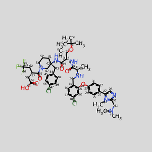 C[C@H](OC(C)(C)C)[C@H](NC(=O)[C@@H](C)NCc1ccc(Cl)cc1Oc1ccc(-c2cnc(CN(C)C)n2C)cc1)C(=O)N[C@@]1(Cc2ccc(Cl)cc2)CCCN(C(=O)[C@@H](CC(=O)O)CC(F)(F)F)C1